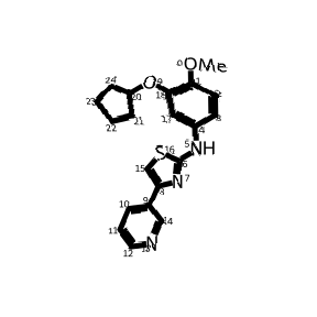 COc1ccc(Nc2nc(-c3cccnc3)cs2)cc1OC1CCCC1